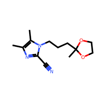 Cc1nc(C#N)n(CCCC2(C)OCCO2)c1C